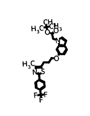 Cc1nc(-c2ccc(C(F)(F)F)cc2)sc1CCCOc1ccc2ccn(CC(=O)OC(C)(C)C)c2c1